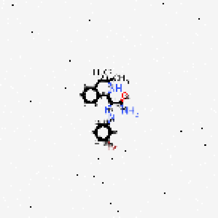 CC1(C)Cc2ccccc2C(=C(N=Nc2cccc(Br)c2)C(N)=O)N1